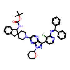 CC(C)(C)OC(=O)NC1c2ccccc2CC12CCN(c1cnc3c(-c4ccnc(N=C(c5ccccc5)c5ccccc5)c4F)nn(C4CCCCO4)c3n1)CC2